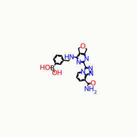 NC(=O)c1cccn2c(-c3nc4c(c(NCc5cccc(B(O)O)c5)n3)COC4)nnc12